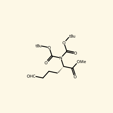 COC(=O)[C@H](CCCC=O)N(C(=O)OC(C)(C)C)C(=O)OC(C)(C)C